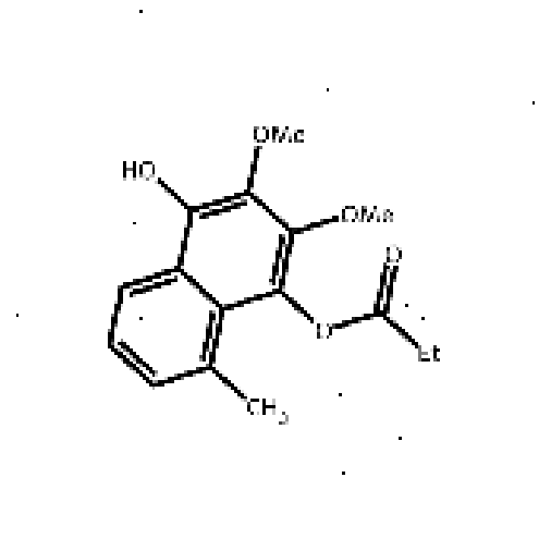 CCC(=O)Oc1c(OC)c(OC)c(O)c2cccc(C)c12